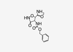 NC(=O)C1ONC(=O)C1NC(=O)OCc1ccccc1